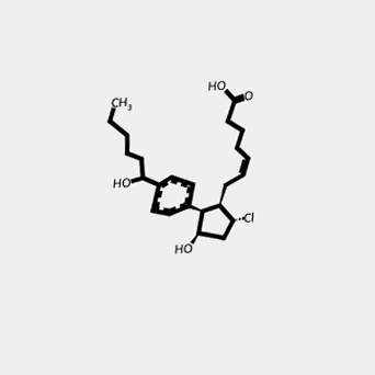 CCCCCC(O)c1ccc([C@H]2[C@@H](C/C=C\CCCC(=O)O)[C@H](Cl)C[C@H]2O)cc1